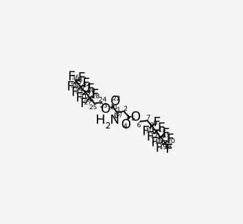 N[C@@H](CC(=O)OCCC(F)(F)C(F)(F)C(F)(F)C(F)(F)F)C(=O)OCCC(F)(F)C(F)(F)C(F)(F)C(F)(F)F